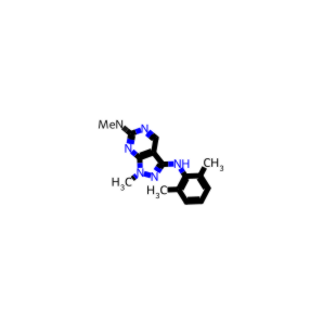 CNc1ncc2c(Nc3c(C)cccc3C)nn(C)c2n1